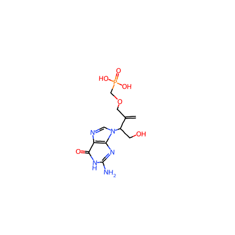 C=C(COCP(=O)(O)O)C(CO)n1cnc2c(=O)[nH]c(N)nc21